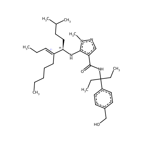 CC/C=C(\CCCCC)[C@@H](CCC(C)C)Nc1c(C(=O)NC(CC)(CC)c2ccc(CO)cc2)cnn1C